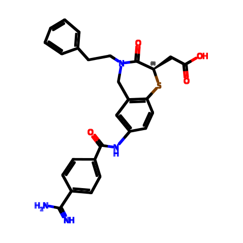 N=C(N)c1ccc(C(=O)Nc2ccc3c(c2)CN(CCc2ccccc2)C(=O)[C@@H](CC(=O)O)S3)cc1